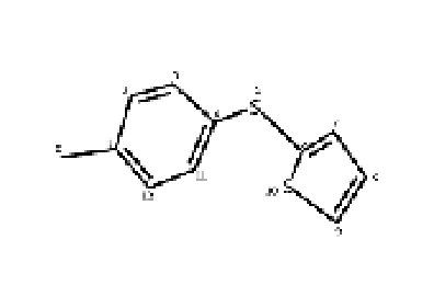 Cc1ccc(Sc2cccs2)cc1